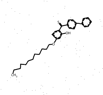 CCCCCCCCCCCCOc1ccc(C(=S)c2ccc(-c3ccccc3)cc2)c(O)c1